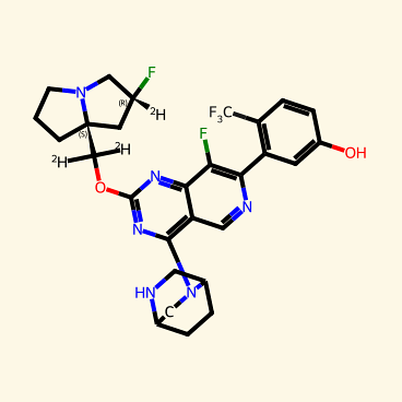 [2H]C([2H])(Oc1nc(N2CC3CCC2CN3)c2cnc(-c3cc(O)ccc3C(F)(F)F)c(F)c2n1)[C@@]12CCCN1C[C@]([2H])(F)C2